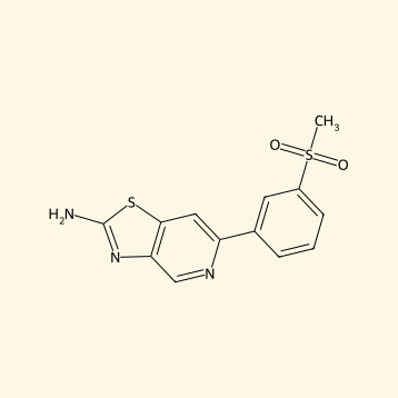 CS(=O)(=O)c1cccc(-c2cc3sc(N)nc3cn2)c1